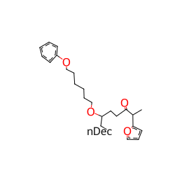 CCCCCCCCCCCC(CCC(=O)C(C)c1ccco1)OCCCCCCOc1ccccc1